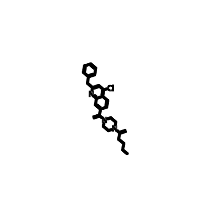 C=C(CCCC)N1CCN(C(=C)c2ccc3c(Cl)cc(Cc4ccccc4)nc3c2)CC1